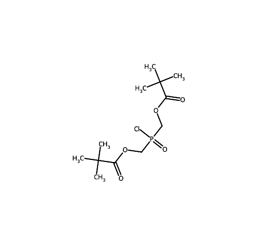 CC(C)(C)C(=O)OCP(=O)(Cl)COC(=O)C(C)(C)C